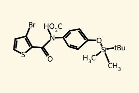 CC(C)(C)[Si](C)(C)Oc1ccc(N(C(=O)O)C(=O)c2sccc2Br)cc1